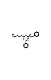 O=CCCC[C@@H](F)CC(OCc1ccccc1)OCc1ccccc1